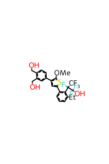 CCc1cccc(-c2cc(-c3ccc(CO)c(CO)c3)c(OC)s2)c1C(F)(C(O)(F)F)C(F)(F)F